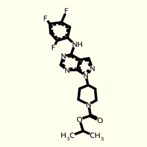 CC(C)OC(=O)N1CCC(n2ncc3c(Nc4cc(F)c(F)cc4F)ncnc32)CC1